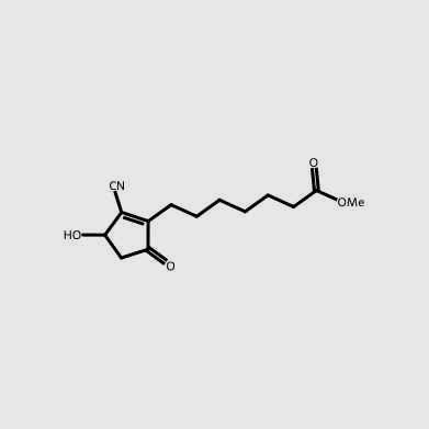 COC(=O)CCCCCCC1=C(C#N)C(O)CC1=O